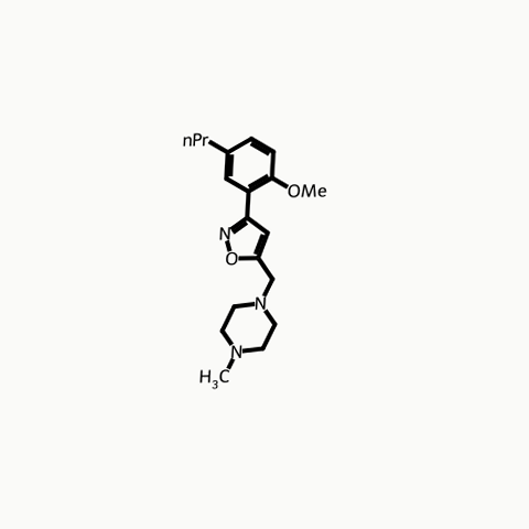 CCCc1ccc(OC)c(-c2cc(CN3CCN(C)CC3)on2)c1